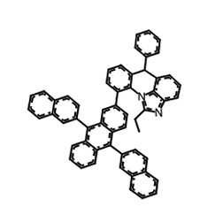 CCc1nc2cccc3c2n1-c1c(-c2ccc4c(-c5ccc6ccccc6c5)c5ccccc5c(-c5ccc6ccccc6c5)c4c2)cccc1C3c1ccccc1